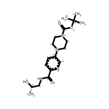 C[C@H](O)CNC(=O)c1ccc(N2CCN(C(=O)OC(C)(C)C)CC2)cn1